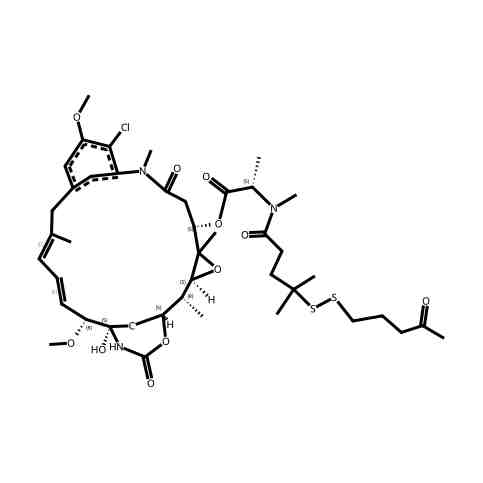 COc1cc2cc(c1Cl)N(C)C(=O)C[C@H](OC(=O)[C@H](C)N(C)C(=O)CCC(C)(C)SSCCCC(C)=O)C1(C)O[C@H]1[C@H](C)[C@@H]1C[C@@](O)(NC(=O)O1)[C@H](OC)/C=C/C=C(\C)C2